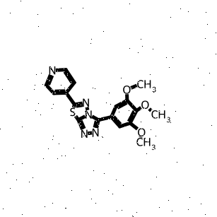 COc1cc(-c2nnc3sc(-c4ccncc4)nn23)cc(OC)c1OC